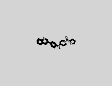 CN(c1ccc(-c2cnc3ccccc3c2)cc1)C1CCN(C(=O)[C@H]2CCCO2)CC1